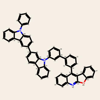 c1ccc(-n2c3ccccc3c3cc(-c4ccc5c6ccccc6n(-c6cccc(-c7cccc(-c8c9ccccc9nc9oc%10ccccc%10c89)c7)c6)c5c4)ccc32)cc1